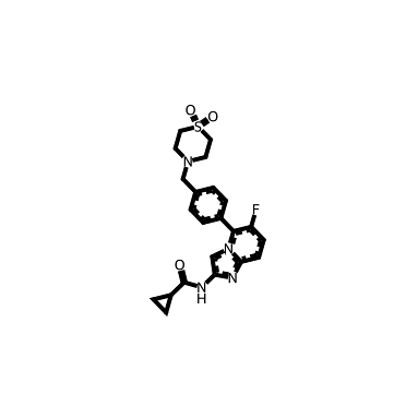 O=C(Nc1cn2c(-c3ccc(CN4CCS(=O)(=O)CC4)cc3)c(F)ccc2n1)C1CC1